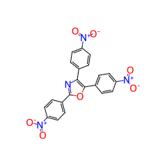 O=[N+]([O-])c1ccc(-c2nc(-c3ccc([N+](=O)[O-])cc3)c(-c3ccc([N+](=O)[O-])cc3)o2)cc1